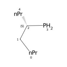 CCCC[C@@H](P)CCC